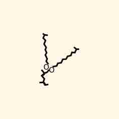 CC=C(C)CC=C(C)CC(OCCCCCCCCCCC(C)C)OCCCCCCCCCCC(C)C